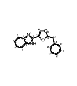 C1=C(c2nc3ccccc3[nH]2)OC(Cc2ccccc2)O1